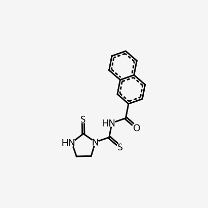 O=C(NC(=S)N1CCNC1=S)c1ccc2ccccc2c1